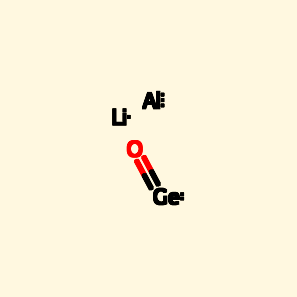 [Al].[Li].[O]=[Ge]